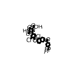 O=C(O)c1nn(-c2cc(Cl)c(Oc3ccc4c(c3)CCN(C(=O)c3ccc(OC(F)(F)F)cc3)C4)c(Cl)c2)c(=O)[nH]c1=O